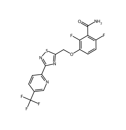 NC(=O)c1c(F)ccc(OCc2nc(-c3ccc(C(F)(F)F)cn3)ns2)c1F